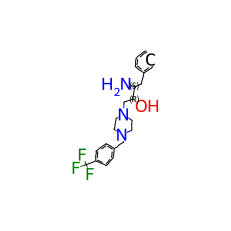 N[C@@H](Cc1ccccc1)[C@H](O)CN1CCN(Cc2ccc(C(F)(F)F)cc2)CC1